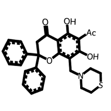 CC(=O)c1c(O)c(CN2CCSCC2)c2c(c1O)C(=O)CC(c1ccccc1)(c1ccccc1)O2